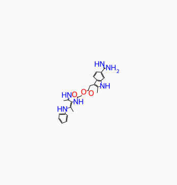 CC(=N)/C(NC(=O)COC(=O)Cc1c(C)[nH]c2cc(C(=N)N)ccc12)=C(/C)Nc1ccccc1